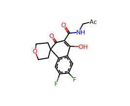 CC(=O)CNC(=O)C1=C(O)c2cc(F)c(F)cc2C2(CCOCC2)C1=O